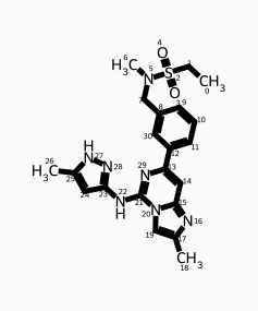 CCS(=O)(=O)N(C)Cc1cccc(-c2cc3nc(C)cn3c(Nc3cc(C)[nH]n3)n2)c1